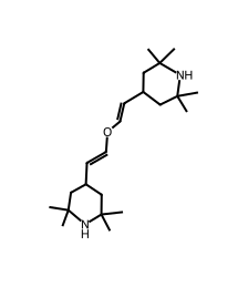 CC1(C)CC(C=COC=CC2CC(C)(C)NC(C)(C)C2)CC(C)(C)N1